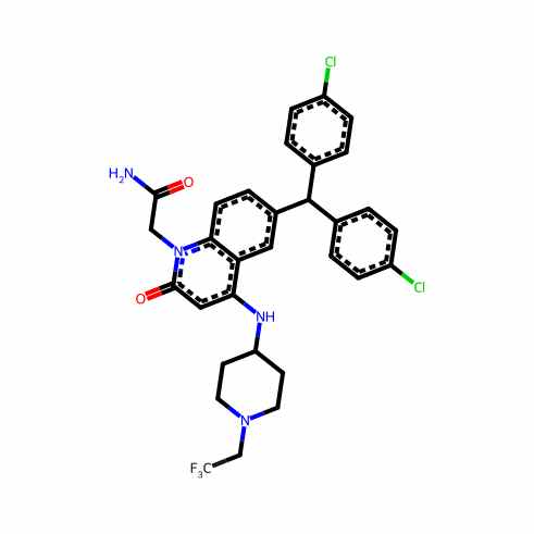 NC(=O)Cn1c(=O)cc(NC2CCN(CC(F)(F)F)CC2)c2cc(C(c3ccc(Cl)cc3)c3ccc(Cl)cc3)ccc21